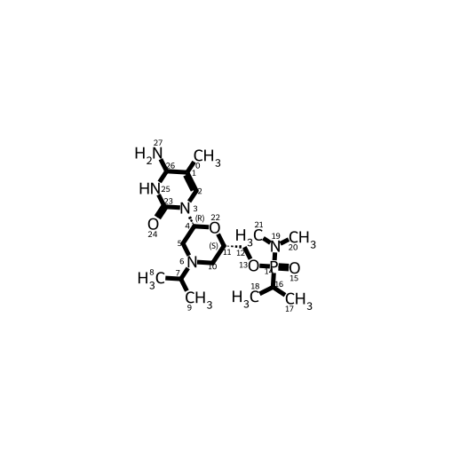 CC1=CN([C@H]2CN(C(C)C)C[C@@H](COP(=O)(C(C)C)N(C)C)O2)C(=O)NC1N